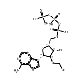 Nc1ncnc2c1ncn2[C@@H]1O[C@H](COP(=O)(O)OP(=O)(O)OP(=O)(O)O)[C@H](O)[C@H]1OCS